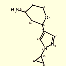 NC1CCOC(c2cnn(C3CC3)c2)C1